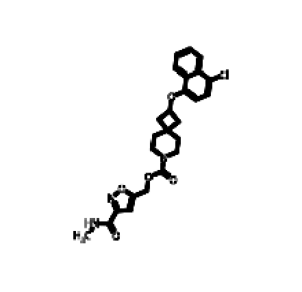 CNC(=O)c1cc(COC(=O)N2CCC3(CC2)CC(Oc2ccc(Cl)c4ccccc24)C3)on1